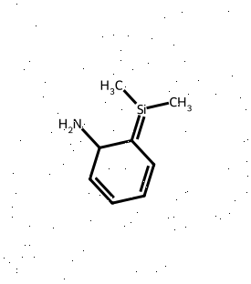 C[Si](C)=C1C=CC=CC1N